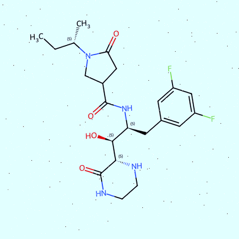 CC[C@H](C)N1CC(C(=O)N[C@@H](Cc2cc(F)cc(F)c2)[C@H](O)[C@@H]2NCCNC2=O)CC1=O